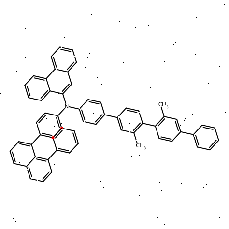 Cc1cc(-c2ccccc2)ccc1-c1ccc(-c2ccc(N(c3ccc(-c4cccc5cccc(-c6ccccc6)c45)cc3)c3cc4ccccc4c4ccccc34)cc2)cc1C